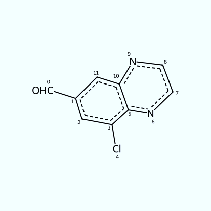 O=Cc1cc(Cl)c2nccnc2c1